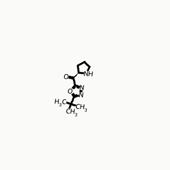 CC(C)(C)c1nnc(C(=O)[C@H]2CCCN2)o1